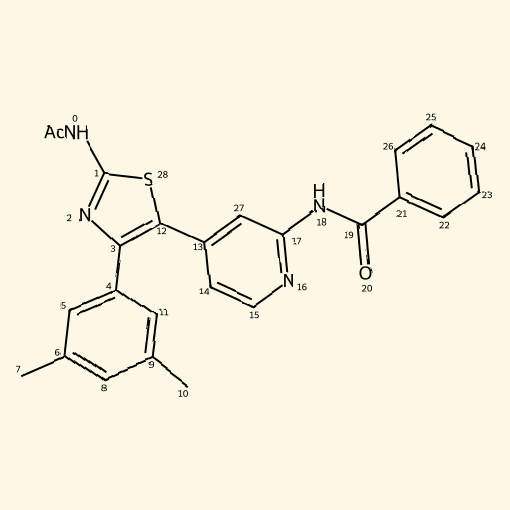 CC(=O)Nc1nc(-c2cc(C)cc(C)c2)c(-c2ccnc(NC(=O)c3ccccc3)c2)s1